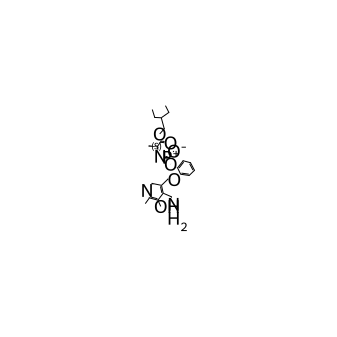 CCC(CC)COC(=O)[C@H](C)N=[P+]([O-])Oc1ccccc1OCc1cnc(C)c(O)c1CN